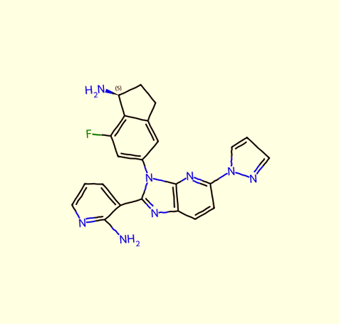 Nc1ncccc1-c1nc2ccc(-n3cccn3)nc2n1-c1cc(F)c2c(c1)CC[C@@H]2N